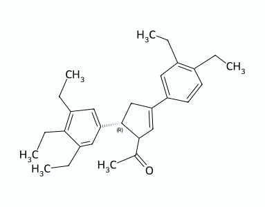 CCc1ccc(C2=CC(C(C)=O)[C@H](c3cc(CC)c(CC)c(CC)c3)C2)cc1CC